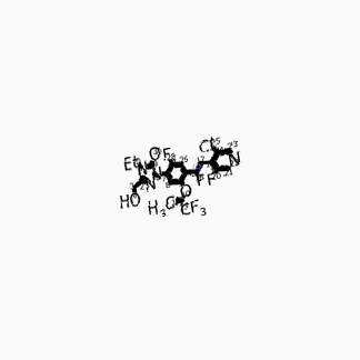 CCn1c(CO)nn(-c2cc(O[C@@H](C)C(F)(F)F)c(/C(F)=C/c3c(F)cncc3Cl)cc2F)c1=O